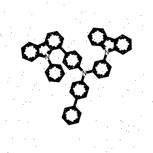 c1ccc(-c2ccc(N(c3ccc(-c4cccc5c6ccccc6n(-c6ccccc6)c45)cc3)c3cccc(-n4c5ccccc5c5ccccc54)c3)cc2)cc1